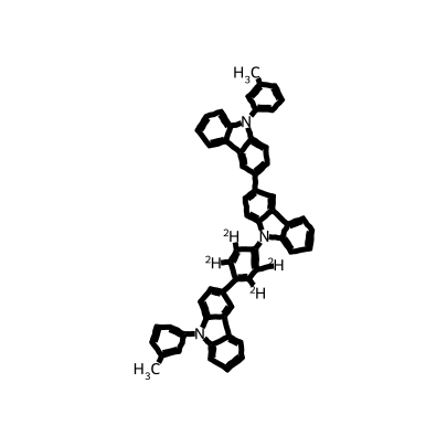 [2H]c1c([2H])c(-n2c3ccccc3c3cc(-c4ccc5c(c4)c4ccccc4n5-c4cccc(C)c4)ccc32)c([2H])c([2H])c1-c1ccc2c(c1)c1ccccc1n2-c1cccc(C)c1